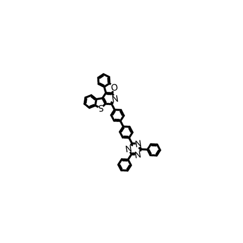 c1ccc(-c2nc(-c3ccccc3)nc(-c3ccc(-c4ccc(-c5nc6oc7ccccc7c6c6c5sc5ccccc56)cc4)cc3)n2)cc1